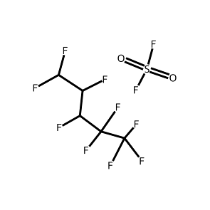 FC(F)C(F)C(F)C(F)(F)C(F)(F)F.O=S(=O)(F)F